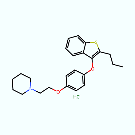 CCCc1sc2ccccc2c1Oc1ccc(OCCN2CCCCC2)cc1.Cl